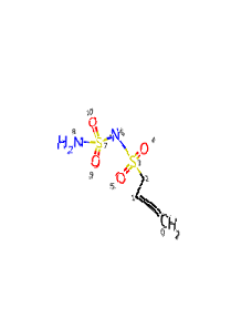 C=CCS(=O)(=O)[N]S(N)(=O)=O